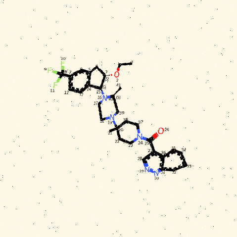 CCO[C@H]1Cc2cc(C(F)(F)F)ccc2[C@@H]1N1CCN(C2(C)CCN(C(=O)c3cnnc4ccccc34)CC2)C[C@@H]1C